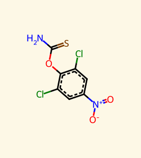 NC(=S)Oc1c(Cl)cc([N+](=O)[O-])cc1Cl